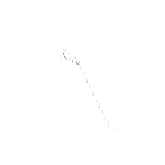 CCCCCCCCCCCCCCCCCCCCCC(=O)NC(CC)[N+](C)(C)CC(O)CO